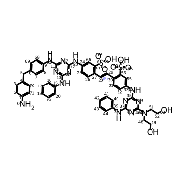 Nc1ccc(Cc2ccc(Nc3nc(Nc4ccccc4)nc(Nc4ccc(/C=C/c5ccc(Nc6nc(Nc7ccccc7)nc(N(CCO)CCO)n6)cc5S(=O)(=O)O)c(S(=O)(=O)O)c4)n3)cc2)cc1